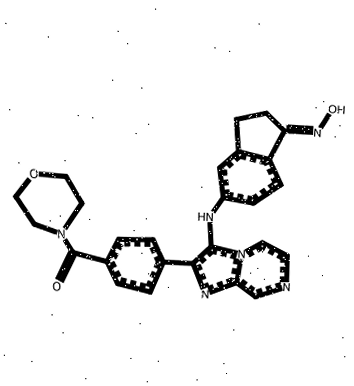 O=C(c1ccc(-c2nc3cnccn3c2Nc2ccc3c(c2)CCC3=NO)cc1)N1CCOCC1